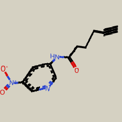 C#CCCCC(=O)Nc1cncc([N+](=O)[O-])c1